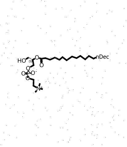 CCCCCCCCCCCCCCCCCCCCCCC(=O)O[C@@H](CO)COP(=O)([O-])OCC[N+](C)(C)C